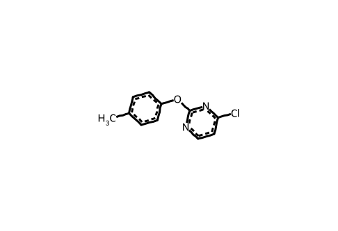 Cc1ccc(Oc2nccc(Cl)n2)cc1